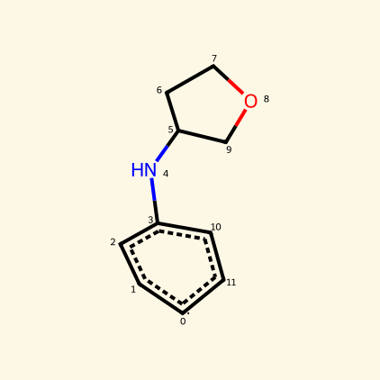 [c]1ccc(NC2CCOC2)cc1